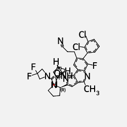 Cc1nc2c(F)c(-c3cccc(Cl)c3Cl)c(CCC#N)cc2c2c1cc([C@H]1CCCN1C(=O)N1CC(F)(F)C1)n2[C@H]1[C@H]2CN[C@@H]1C2